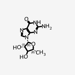 C[C@H]1O[C@@H](n2cnc3c(=O)[nH]c(N)nc32)[C@@H](O)C1O